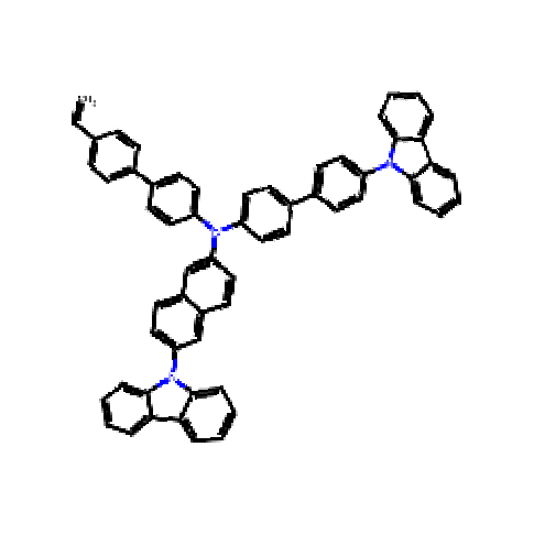 C=Cc1ccc(-c2ccc(N(c3ccc(-c4ccc(-n5c6ccccc6c6ccccc65)cc4)cc3)c3ccc4cc(-n5c6ccccc6c6ccccc65)ccc4c3)cc2)cc1